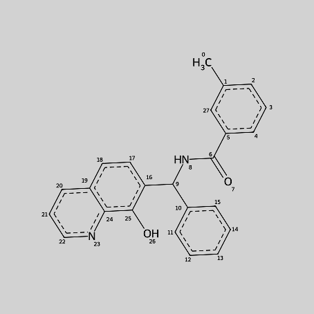 Cc1cccc(C(=O)NC(c2ccccc2)c2ccc3cccnc3c2O)c1